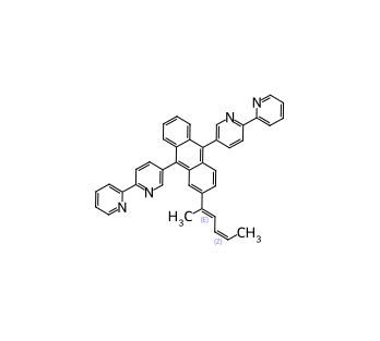 C/C=C\C=C(/C)c1ccc2c(-c3ccc(-c4ccccn4)nc3)c3ccccc3c(-c3ccc(-c4ccccn4)nc3)c2c1